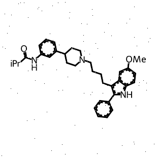 COc1ccc2[nH]c(-c3ccccc3)c(CCCCN3CCC(c4cccc(NC(=O)C(C)C)c4)CC3)c2c1